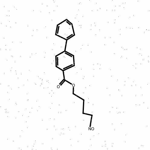 O=NCCCCOC(=O)c1ccc(-c2ccccc2)cc1